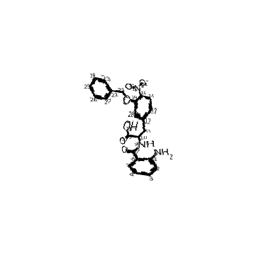 Nc1ccccc1C(=O)NC(Cc1ccc([N+](=O)[O-])c(OCc2ccccc2)c1)C(=O)O